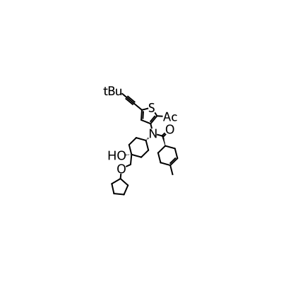 CC(=O)c1sc(C#CC(C)(C)C)cc1N(C(=O)[C@H]1CC=C(C)CC1)[C@H]1CC[C@](O)(COC2CCCC2)CC1